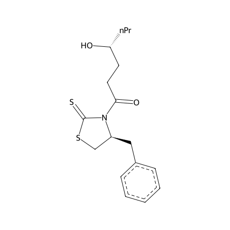 CCC[C@@H](O)CCC(=O)N1C(=S)SC[C@@H]1Cc1ccccc1